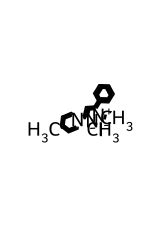 CC1CCN(c2cc(-c3ccccc3)[n+](C)n2C)CC1.[I-]